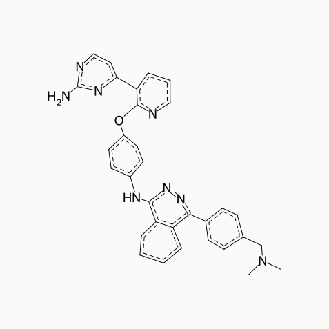 CN(C)Cc1ccc(-c2nnc(Nc3ccc(Oc4ncccc4-c4ccnc(N)n4)cc3)c3ccccc23)cc1